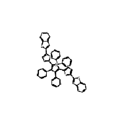 c1ccc(C2=C(c3ccc(-c4cc5ccccc5s4)s3)[Si](c3ccccc3)(c3ccccc3)C(c3ccc(-c4cc5ccccc5s4)s3)=C2c2ccccc2)cc1